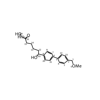 COCc1ccc(-c2ccc(C(O)CCCCC(=O)NO)cc2)cc1